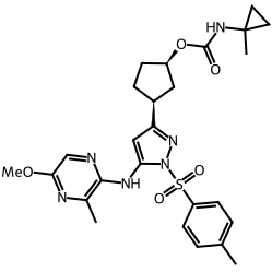 COc1cnc(Nc2cc([C@H]3CC[C@@H](OC(=O)NC4(C)CC4)C3)nn2S(=O)(=O)c2ccc(C)cc2)c(C)n1